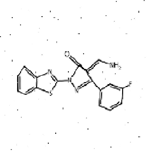 NC=C1C(=O)N(c2nc3ccccc3s2)N=C1c1cccc(F)c1